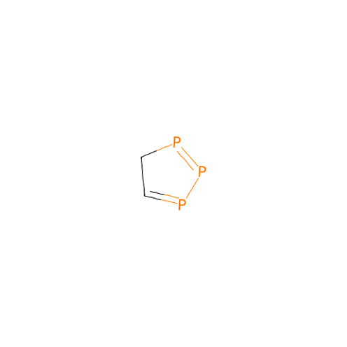 C1=PP=PC1